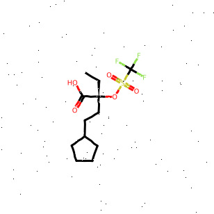 CC[C@](CCC1CCCC1)(OS(=O)(=O)C(F)(F)F)C(=O)O